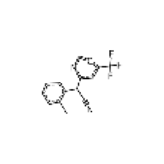 Cc1ccccc1C(C#N)c1cc(C(F)(F)F)ccn1